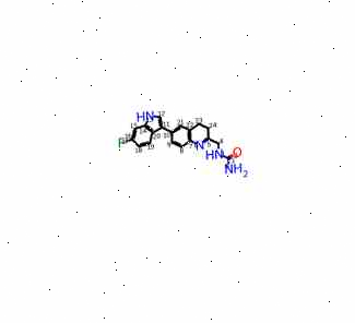 NC(=O)NCC1=Nc2ccc(-c3c[nH]c4cc(F)ccc34)cc2CC1